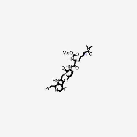 COC(=O)N[C@@H](CC/C=C/C(=O)N(C)C)C(=O)Nc1ccc(Cl)n(Cc2cc3c(F)cnc(CC(C)C)c3[nH]2)c1=O